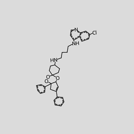 Clc1ccc2c(NCCCCNC3CCC4(CC3)OOC3(c5ccccc5)CC(c5ccccc5)=CC3O4)ccnc2c1